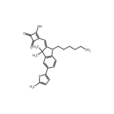 CCCCCCN1/C(=C/c2c(O)c(=O)c2=O)C(C)(C)c2cc(-c3ccc(C)s3)ccc21